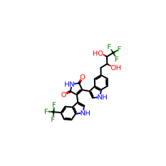 O=C1NC(=O)C(c2c[nH]c3ccc(C(F)(F)F)cc23)=C1c1c[nH]c2ccc(CC(O)C(O)C(F)(F)F)cc12